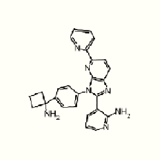 Nc1ncccc1-c1nc2ccc(-c3ccccn3)nc2n1-c1ccc(C2(N)CCC2)cc1